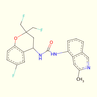 Cc1cc2c(NC(=O)NC3CC(CF)(CF)Oc4ccc(F)cc43)cccc2cn1